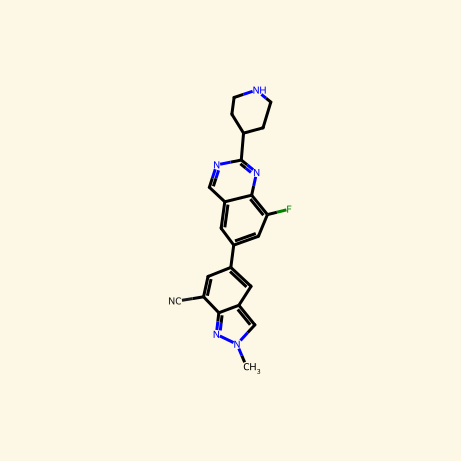 Cn1cc2cc(-c3cc(F)c4nc(C5CCNCC5)ncc4c3)cc(C#N)c2n1